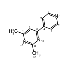 Cc1cc(-c2ccncc2)nc(C)n1